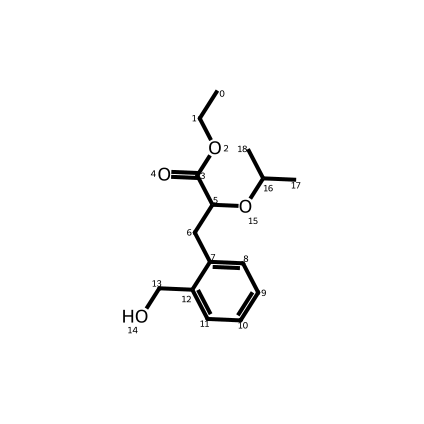 CCOC(=O)C(Cc1ccccc1CO)OC(C)C